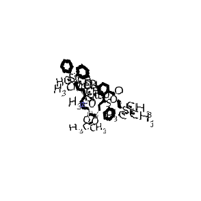 COc1ccc(C(=O)OCC[Si](C)(C)C)c(C(CC[C@@H]2OC(C)(C)O[C@@H]2C(/C=C\C[C@H](C)CC(C)(C)[Si](O)(c2ccccc2)c2ccccc2)O[Si](C)(C)C(C)(C)C)Sc2ccccc2)c1